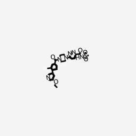 CCOc1cncc(-c2ccc(C(=O)N3CCN(c4ccc(C(=O)NS(C)(=O)=O)nn4)CC3)cc2C)c1